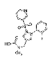 CN(Cc1cc(-c2ccccc2F)n(S(=O)(=O)c2cccnc2)c1)C(=O)O